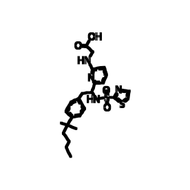 CCCCC(C)(C)c1ccc(CC(NS(=O)(=O)c2nccs2)c2cccc(NCC(=O)O)n2)cc1